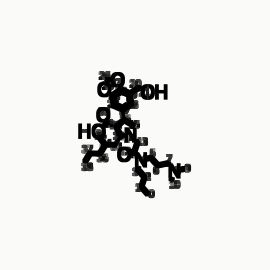 CCCCN(CCCN(C)C)C(=O)CN1C[C@H](c2cc(CO)c3c(c2)OCO3)[C@@H](C(=O)O)[C@@H]1CC(C)CCC